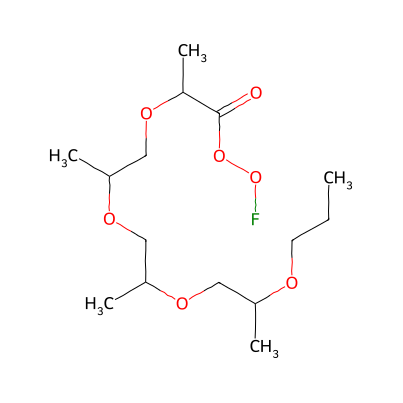 CCCOC(C)COC(C)COC(C)COC(C)C(=O)OOF